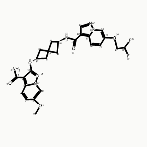 COc1ccc2c(C(N)=O)c(O[C@H]3CC4(C[C@H](NC(=O)c5cnn6cc(OCC(F)F)ccc56)C4)C3)nn2c1